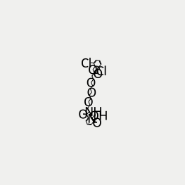 O=C(CCOCCOCCOCCNC(=O)c1cccc(=O)n1O)Oc1c(Cl)cccc1Cl